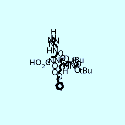 CC[C@H](C)[C@H](NC(=O)OC(C)(C)C)C(=O)NC(CCC(=O)OCc1ccccc1)C(=O)N1C(=O)N(C(=O)O)CC1C(=O)NCc1nn[nH]n1